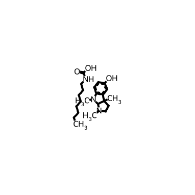 CCCCCCCCNC(=O)O.CN1CCC2(C)c3cc(O)ccc3N(C)C12